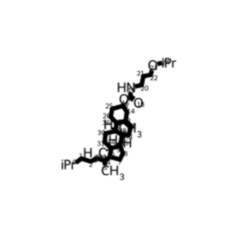 CC(C)CCCC(C)C1CC[C@H]2[C@@H]3CC=C4C[C@@H](OC(=O)NCCCOC(C)C)CC[C@]4(C)[C@H]3CC[C@]12C